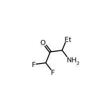 CCC(N)C(=O)C(F)F